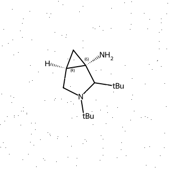 CC(C)(C)C1N(C(C)(C)C)C[C@H]2C[C@@]12N